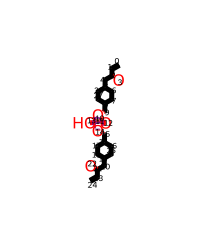 C=CC(=O)CC1CCC(COP(=O)(O)OCC2CCC(CC(=O)C=C)CC2)CC1